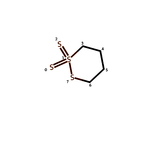 S=S1(=S)CCCCS1